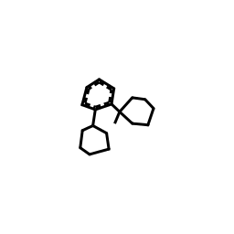 CC1(c2ccccc2C2CCCCC2)CCCCC1